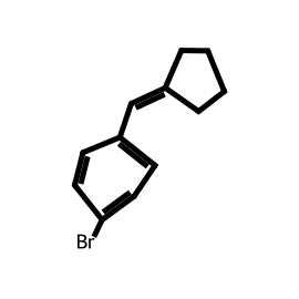 Brc1ccc(C=C2CCCC2)cc1